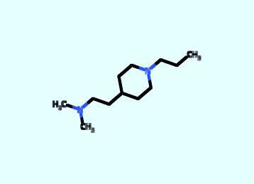 CCCN1CCC(CCN(C)C)CC1